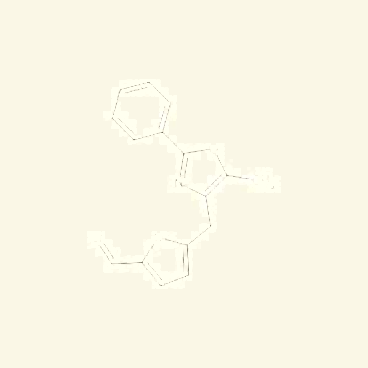 Cc1oc(-c2ccccc2)nc1Cc1ccc(C=O)o1